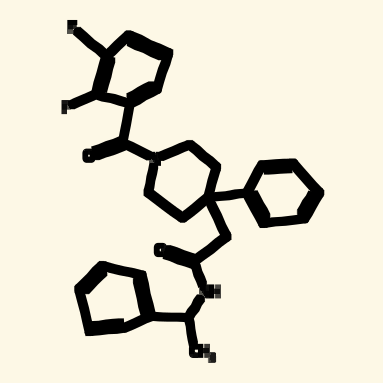 CC(NC(=O)CC1(c2ccccc2)CCN(C(=O)c2cccc(F)c2F)CC1)c1ccccc1